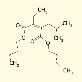 CCCCOC(=O)C(CC)=C(CC(C)C)C(=O)OCCCC